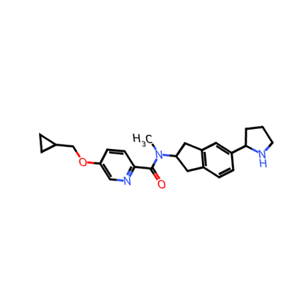 CN(C(=O)c1ccc(OCC2CC2)cn1)C1Cc2ccc(C3CCCN3)cc2C1